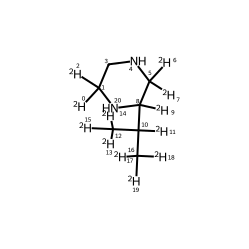 [2H]C1([2H])CNC([2H])([2H])C([2H])(C([2H])(C([2H])([2H])[2H])C([2H])([2H])[2H])N1